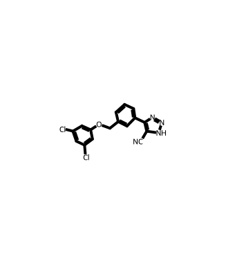 N#Cc1[nH]nnc1-c1cccc(COc2cc(Cl)cc(Cl)c2)c1